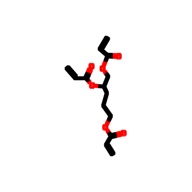 C=CC(=O)OCCCC(COC(=O)C=C)OC(=O)C=C